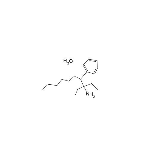 CCCCCCC(c1ccccc1)C(N)(CC)CC.O